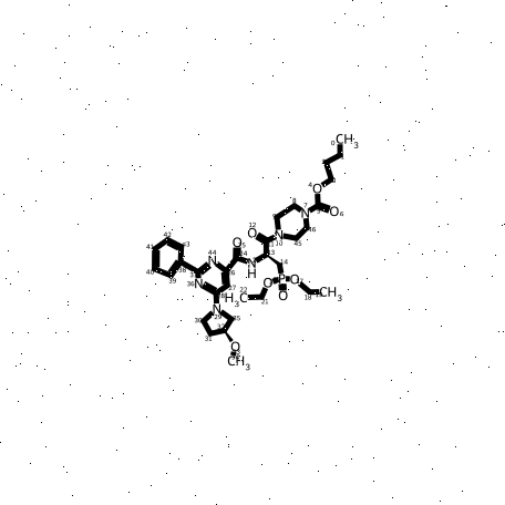 CCCCOC(=O)N1CCN(C(=O)[C@@H](CP(=O)(OCC)OCC)NC(=O)c2cc(N3CC[C@H](OC)C3)nc(-c3ccccc3)n2)CC1